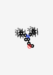 [2H]c1c([2H])c([2H])c(-c2ccc(N(c3ccc(-c4c([2H])c([2H])c([2H])c([2H])c4[2H])cc3)c3ccc(-c4ccc5oc6ccccc6c5c4)c4ccccc34)cc2)c([2H])c1[2H]